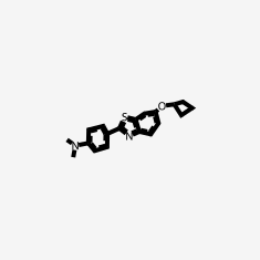 CN(C)c1ccc(-c2nc3ccc(OC4CCC4)cc3s2)cc1